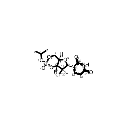 CC(C)O[P@@]1(=O)OC[C@H]2O[C@@H](n3ccc(=O)[nH]c3=O)[C@@](F)(Cl)[C@@H]2O1